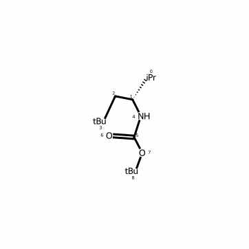 CC(C)[C@@H](CC(C)(C)C)NC(=O)OC(C)(C)C